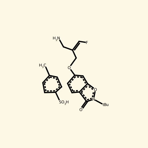 CC(C)(C)n1oc2cc(OC/C(=C\F)CN)ccc2c1=O.Cc1ccc(S(=O)(=O)O)cc1